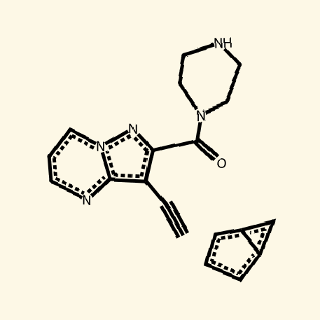 C#Cc1c(C(=O)N2CCNCC2)nn2cccnc12.c1cc2cc-2c1